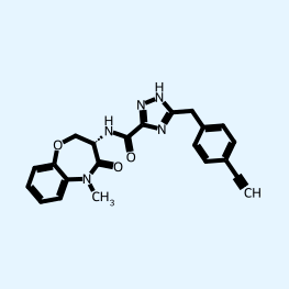 C#Cc1ccc(Cc2nc(C(=O)N[C@H]3COc4ccccc4N(C)C3=O)n[nH]2)cc1